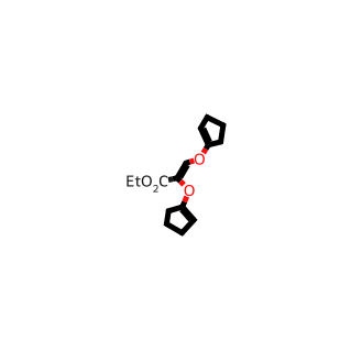 CCOC(=O)C(=COC1=CCCC1)OC1=CCCC1